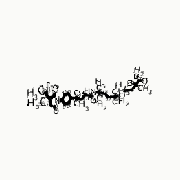 BC(=O)C(B)(C)CCOC(C)(C)CCC(C)(C)NC(=O)CCC(C)(C)c1ccc(N2C(=O)CC(C(C)(C)CC)C2=O)cc1